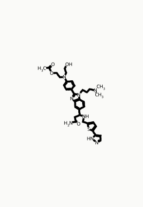 CC(=O)OCCN(CCO)c1ccc(-c2nc3cc(C(CC(N)=O)NCc4ccc(-c5ccn[nH]5)s4)ccc3n2CCCN(C)C)cc1